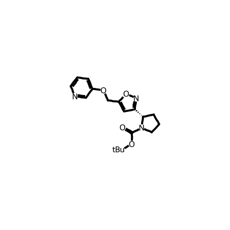 CC(C)(C)OC(=O)N1CCC[C@H]1c1cc(COc2cccnc2)on1